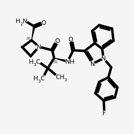 CC(C)(C)[C@H](NC(=O)c1nn(Cc2ccc(F)cc2)c2ccccc12)C(=O)N1CC[C@H]1C(N)=O